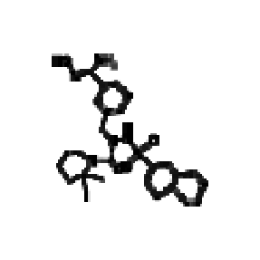 CC1(I)CCCCN1C(=O)N(Cc1cccc(C(N)=NO)c1)NS(=O)(=O)c1ccc2ccccc2c1